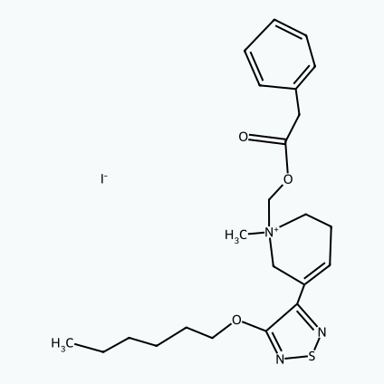 CCCCCCOc1nsnc1C1=CCC[N+](C)(COC(=O)Cc2ccccc2)C1.[I-]